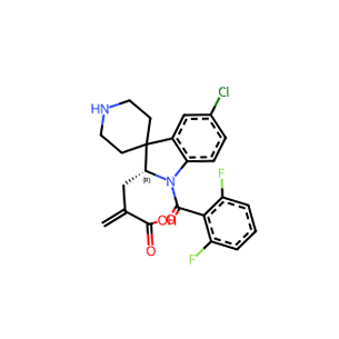 C=C(C[C@H]1N(C(=O)c2c(F)cccc2F)c2ccc(Cl)cc2C12CCNCC2)C(=O)O